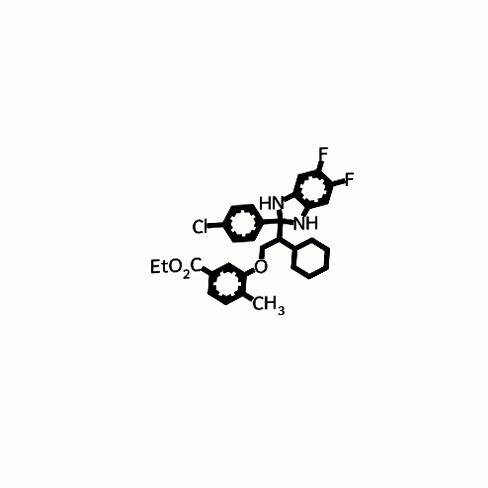 CCOC(=O)c1ccc(C)c(OCC(C2CCCCC2)C2(c3ccc(Cl)cc3)Nc3cc(F)c(F)cc3N2)c1